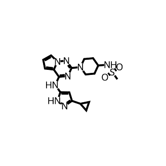 CS(=O)(=O)NC1CCN(c2nc(Nc3cc(C4CC4)n[nH]3)c3cccn3n2)CC1